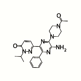 CC(=O)N1CCN(c2nc(-c3ccc(=O)n(C(C)C)n3)c(-c3ccccc3)nc2N)CC1